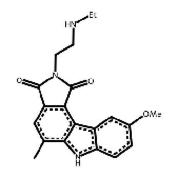 CCNCCN1C(=O)c2cc(C)c3[nH]c4ccc(OC)cc4c3c2C1=O